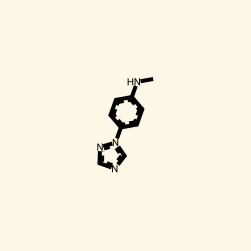 CNc1ccc(-n2cncn2)cc1